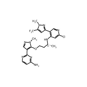 C[C@H](CCOc1c(-c2nccc(N)n2)cnn1C)Nc1cc(Cl)ncc1-c1cc(C(F)(F)F)n(C)n1